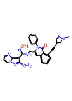 C[C@@H](NC(=NO)c1c(N)nn2cccnc12)c1cc2cccc(C#Cc3cnn(C)c3)c2c(=O)n1-c1ccccc1